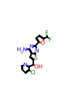 Nc1nc(-c2ccc(C(F)F)o2)nc2sc(C(O)c3ncccc3Cl)cc12